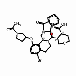 CC(=O)N1CCC(Oc2ccc(Br)c3c2[C@@H](CN2C(=O)c4ccccc4C2=O)N(C(=O)[C@@H]2CCCC[C@@H]2C(=O)O)CC3)C1